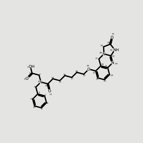 O=C(O)CN(Cc1ccccc1)C(=O)CCCCCCOc1cccc2c1CN1CC(=O)NC1=N2